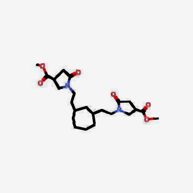 COC(=O)C1CC(=O)N(CCC2CCCCC(CCN3CC(C(=O)OC)CC3=O)C2)C1